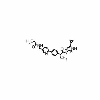 C=CC(=O)NCc1ccc(-c2ccc(C(C)C(=O)Nc3cc(C4CC4)[nH]n3)cc2)nc1